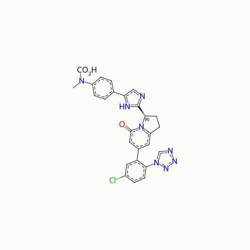 CN(C(=O)O)c1ccc(-c2cnc([C@H]3CCc4cc(-c5cc(Cl)ccc5-n5cnnn5)cc(=O)n43)[nH]2)cc1